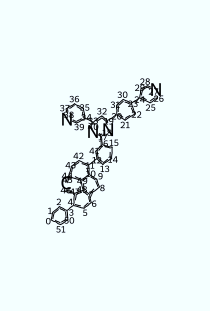 c1ccc(-c2ccc3ccc4c(-c5cccc(-c6nc(-c7ccc(-c8ccncc8)cc7)cc(-c7cccnc7)n6)c5)ccc5ccc2c3c54)cc1